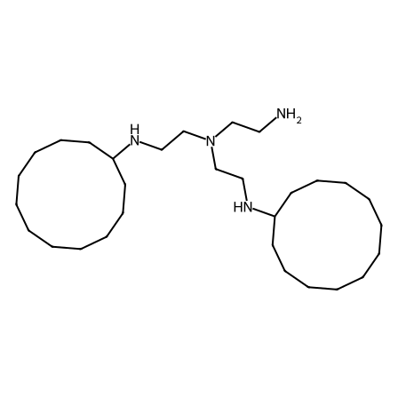 NCCN(CCNC1CCCCCCCCCCC1)CCNC1CCCCCCCCCCC1